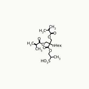 C=C(C)C(=O)OCC(CCCCCC)(COC(=O)C(=C)C)C(=O)OCC(C)S(=O)(=O)O